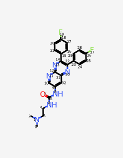 CN(C)CCNC(=O)Nc1cnc2nc(-c3ccc(F)cc3)c(-c3ccc(F)cc3)nc2c1